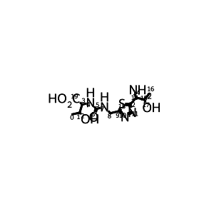 CC(O)C(NC(=O)NCc1nnc(C(N)C(C)O)s1)C(=O)O